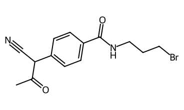 CC(=O)C(C#N)c1ccc(C(=O)NCCCBr)cc1